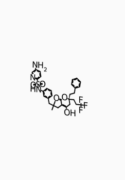 CC(C)(CC1=C(O)C[C@@](CCc2ccccc2)(CCC(F)(F)F)OC1=O)Cc1cccc(NS(=O)(=O)c2ccc(N)cn2)c1